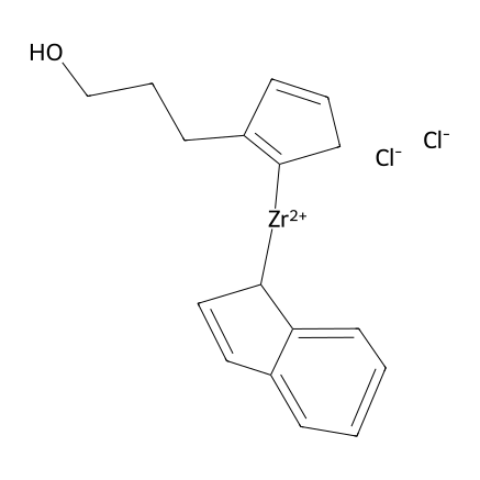 OCCCC1=[C]([Zr+2][CH]2C=Cc3ccccc32)CC=C1.[Cl-].[Cl-]